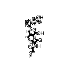 CSCC(=O)NC1C(=O)N2C(C(=O)O)=C(CSc3nnnn3CS(=O)(=O)O)CS[C@H]12